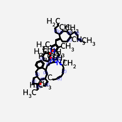 C=C\C=C/C1=C(C)/C(C)=C(/C=C\C=C/C)C(\C)=C/CC1=Cc1c(C)c(/C=C2/N3C(=C)/C=C\C=C/CC/C4=C(\C=C(/C3=C)N2C)c2ccccc2\C=C(\C=C/C=C\C)C(/C)=C4/C=C\C)n(C(=C)/C=C\C=C/C(=C)C(=C)C)c1C